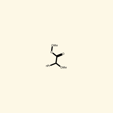 CCCC(OC)C(=O)OOC